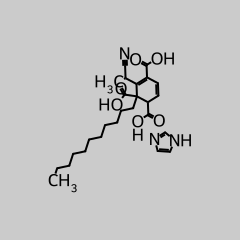 CCCCCCCCCCCC1(C(=O)O)C(C(C)C#N)=C(C(=O)O)C=CC1C(=O)O.c1c[nH]cn1